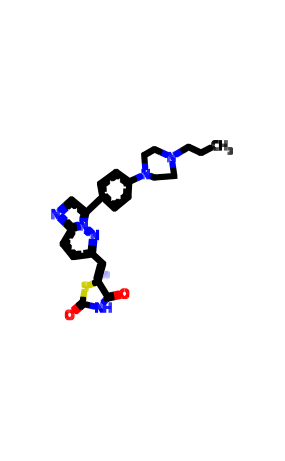 CCCN1CCN(c2ccc(-c3cnc4ccc(/C=C5\SC(=O)NC5=O)nn34)cc2)CC1